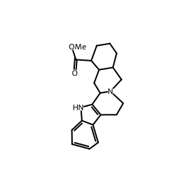 COC(=O)C1CCCC2CN3CCc4c([nH]c5ccccc45)C3CC21